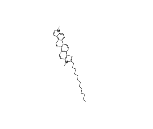 CCCCCCCCCCCCCc1cc2c3ccc4c(ccc5c4ccc4c5ccn4C)c3ccc2n1C